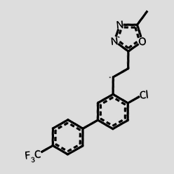 Cc1nnc(C[CH]c2cc(-c3ccc(C(F)(F)F)cc3)ccc2Cl)o1